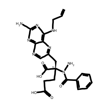 C=CCNc1nc(N)nc2ncc(C[C@@](CCC(=O)O)(C(=O)O)N(N)C(=O)c3ccccc3)nc12